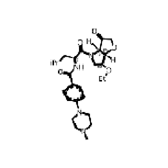 CCO[C@H]1CN(C(=O)[C@H](CC(C)C)NC(=O)c2ccc(N3CCN(C)CC3)cc2)[C@@H]2C(=O)CO[C@H]12